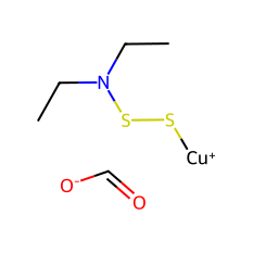 CCN(CC)S[S][Cu+].O=C[O-]